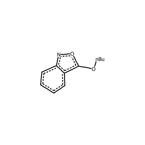 CCCCOc1onc2ccccc12